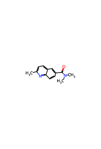 Cc1ccc2cc(C(=O)N(C)C)ccc2n1